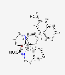 O=C(O)N1CCc2ccccc2[C@]1(c1ccccc1)[C@H]1CN2CCC1CC2.O=S(=O)(O)c1ccc2ccccc2c1